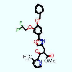 COC(=O)C(Cc1coc(-c2ccc(OCc3ccccc3)c(OCC(F)F)c2)n1)C(=O)c1ncccc1C